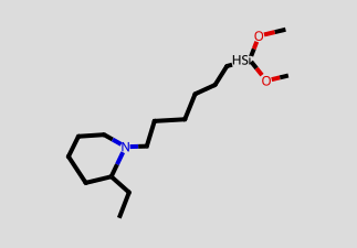 CCC1CCCCN1CCCCCC[SiH](OC)OC